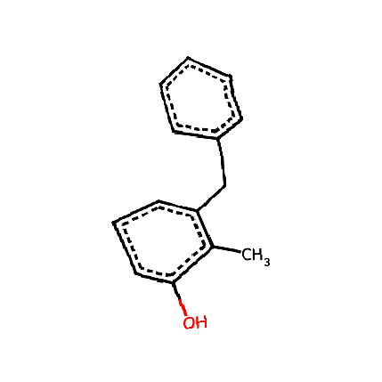 Cc1c(O)cccc1Cc1ccccc1